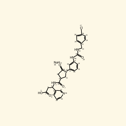 O=C(O)CC(NC(=O)C1CC(=O)N(c2cccc(NC(=O)NCc3ccc(Cl)cc3)c2)C1)c1cccnc1.[NaH]